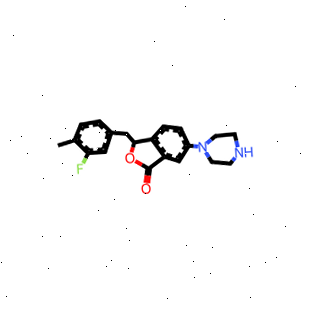 Cc1ccc(CC2OC(=O)c3cc(N4CCNCC4)ccc32)cc1F